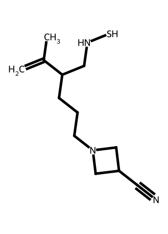 C=C(C)C(CCCN1CC(C#N)C1)CNS